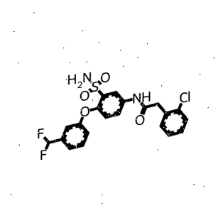 NS(=O)(=O)c1cc(NC(=O)Cc2ccccc2Cl)ccc1Oc1cccc(C(F)F)c1